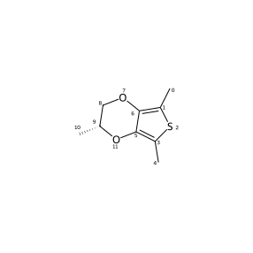 Cc1sc(C)c2c1OC[C@@H](C)O2